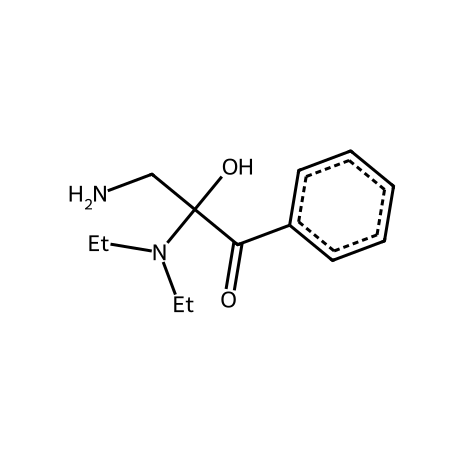 CCN(CC)C(O)(CN)C(=O)c1ccccc1